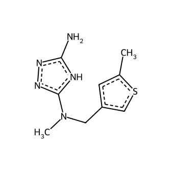 Cc1cc(CN(C)c2nnc(N)[nH]2)cs1